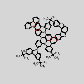 CC(C)(C)C1=CCC(N2c3cc(-n4c5ccccc5c5ccccc54)ccc3B3c4ccc(-n5c6ccc(C(C)(C)C)cc6c6cc(C(C)(C)C)ccc65)cc4N(c4ccc(C(C)(C)C)cc4-c4ccccc4)c4cc(-c5ccc6sc7ccc8sc9ccccc9c8c7c6c5)cc2c43)C(c2ccccc2)=C1